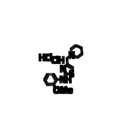 COc1ccccc1Nc1nc(CN2CCCCC2)cs1.Cl.Cl